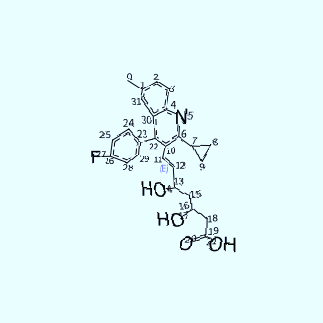 Cc1ccc2nc(C3CC3)c(/C=C/C(O)CC(O)CC(=O)O)c(-c3ccc(F)cc3)c2c1